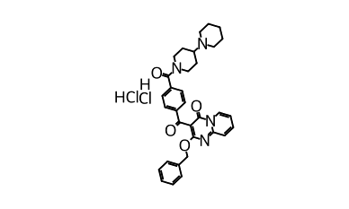 Cl.Cl.O=C(c1ccc(C(=O)N2CCC(N3CCCCC3)CC2)cc1)c1c(OCc2ccccc2)nc2ccccn2c1=O